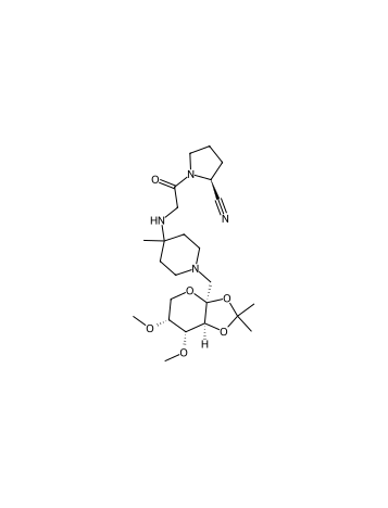 CO[C@@H]1[C@H](OC)CO[C@@]2(CN3CCC(C)(NCC(=O)N4CCC[C@H]4C#N)CC3)OC(C)(C)O[C@@H]12